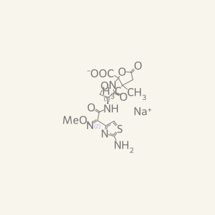 CO/N=C(\C(=O)N[C@H]1CON(C2(C(=O)[O-])OC(=O)CC2(C)C)C1=O)c1csc(N)n1.[Na+]